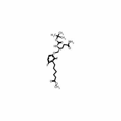 COC(=O)CCCCCc1c(F)ccc(OC[C@H](CCC(N)=O)NC(=O)OC(C)(C)C)c1F